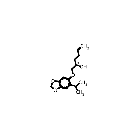 C=CCC[C@@H](O)COc1cc2c(cc1C(C)C)OCO2